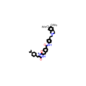 C=C(C)[C@@H]1CC=C(C=c2c(=O)[nH]c(=Cc3ccc(C(=O)Nc4ccc(CCN5CCc6cc(OC)c(OC)cc6C5)cc4)cc3)c(=O)n2C)CC1